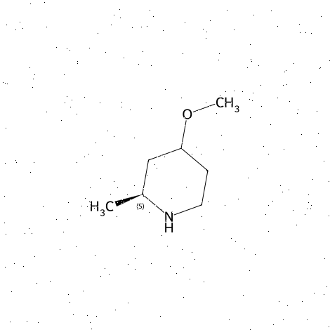 COC1CCN[C@@H](C)C1